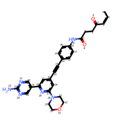 C/C=C\C(=O)CCC(=O)Nc1ccc(C#Cc2cc(-c3cnc(N)nc3)nc(N3CCOCC3)c2)cc1